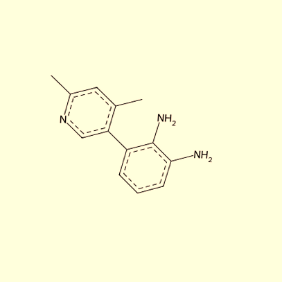 Cc1cc(C)c(-c2cccc(N)c2N)cn1